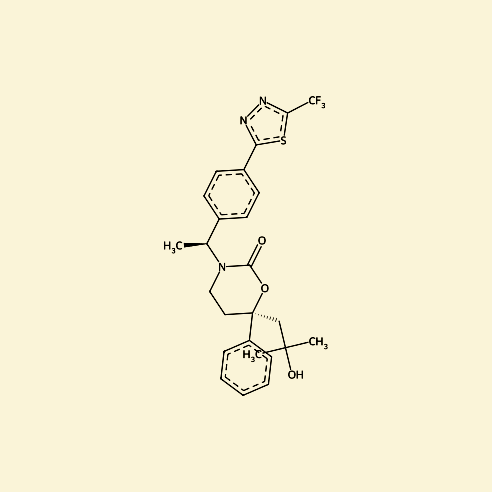 C[C@@H](c1ccc(-c2nnc(C(F)(F)F)s2)cc1)N1CC[C@](CC(C)(C)O)(c2ccccc2)OC1=O